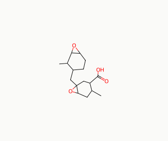 CC1CC2OC2(CC2CCC3OC3C2C)CC1C(=O)O